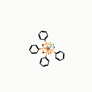 C[PH](C)(c1ccccc1)[W]([Cl])([PH](C)(C)c1ccccc1)([PH](C)(C)c1ccccc1)[PH](C)(C)c1ccccc1